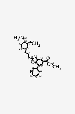 C=CC1CC(C/C=C/c2nc3cc(C(=O)OCC)cc(C4=CC=CC=NC4)c3o2)CCC1CC